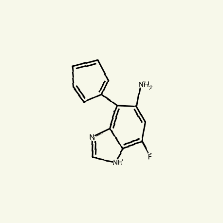 Nc1cc(F)c2[nH]cnc2c1-c1ccccc1